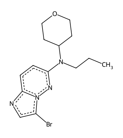 CCCN(c1ccc2ncc(Br)n2n1)C1CCOCC1